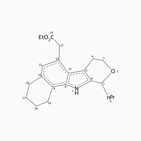 CCCC1OCCc2c1[nH]c1c3c(cc(CC(=O)OCC)c21)CCCC3